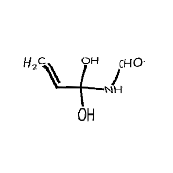 C=CC(O)(O)N[C]=O